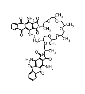 CC(COCC(C)n1c(=O)c2c(N)c3c(=O)c4ccccc4c(=O)c3c(N)c2c1=O)OCC(C)OCC(C)OCC(C)OCC(C)OCC(C)n1c(=O)c2c(N)c3c(=O)c4ccccc4c(=O)c3c(N)c2c1=O